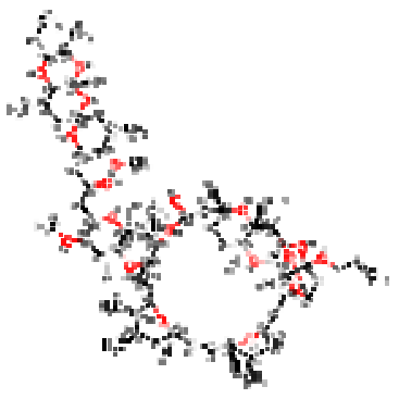 C=CCOC12C[C@]34CC[C@H]5CC(=C)[C@H](CC[C@H]6C[C@@H](C)C(=C)C(C[C@@H]7O[C@H]8C[C@@H](OC)[C@@H](CC(=O)C[C@@H]9O[C@]%10(C[C@H](C)C%11O[C@H](CC)[C@H](C)O[C@@H]%11O%10)C[C@H](C)[C@@H]9OC)O[C@H]8[C@H](C)[C@H]7OC(=O)C[C@H]7CC[C@@H]8OC(C(O1)[C@@H](O3)[C@H]8O7)[C@@H]2O4)O6)O5